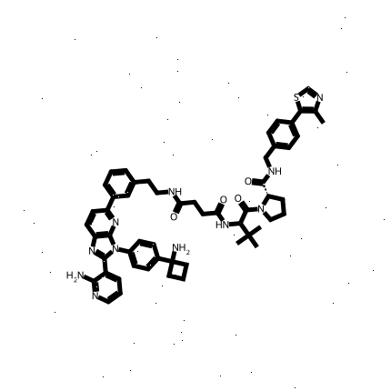 Cc1ncsc1-c1ccc(CNC(=O)[C@@H]2CCCN2C(=O)C(NC(=O)CCC(=O)NCCc2cccc(-c3ccc4nc(-c5cccnc5N)n(-c5ccc(C6(N)CCC6)cc5)c4n3)c2)C(C)(C)C)cc1